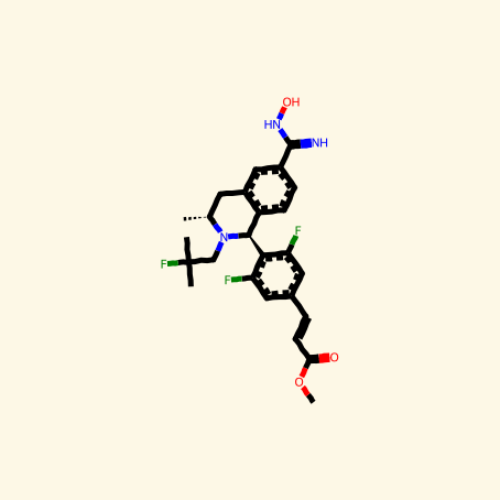 COC(=O)/C=C/c1cc(F)c([C@@H]2c3ccc(C(=N)NO)cc3C[C@@H](C)N2CC(C)(C)F)c(F)c1